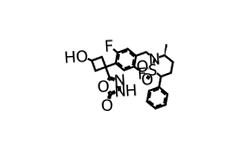 C[C@H]1CCC(c2ccccc2)S(=O)(=O)N1Cc1cc(F)c(C2(c3n[nH]c(=O)o3)CC(O)C2)cc1F